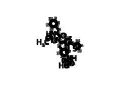 COC(=O)N[C@@H](Cc1ccccc1)C(=O)N[C@@H](Cc1ccc(NS(=O)(=O)O)cc1)C1=CSC(c2cccs2)N1